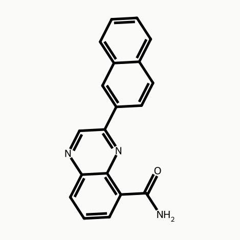 NC(=O)c1cccc2ncc(-c3ccc4ccccc4c3)nc12